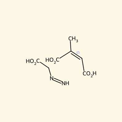 C/C(=C/C(=O)O)C(=O)O.N=NCC(=O)O